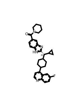 O=C(c1ccc2[nH]c([C@@H](C3CCC(c4ccnc5ccc(F)cc45)CC3)C3CC3)nc2c1)N1CCCCC1